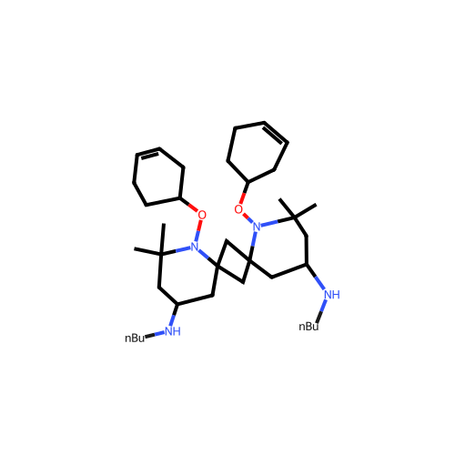 CCCCNC1CC(C)(C)N(OC2CC=CCC2)C2(C1)CC1(CC(NCCCC)CC(C)(C)N1OC1CC=CCC1)C2